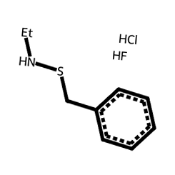 CCNSCc1ccccc1.Cl.F